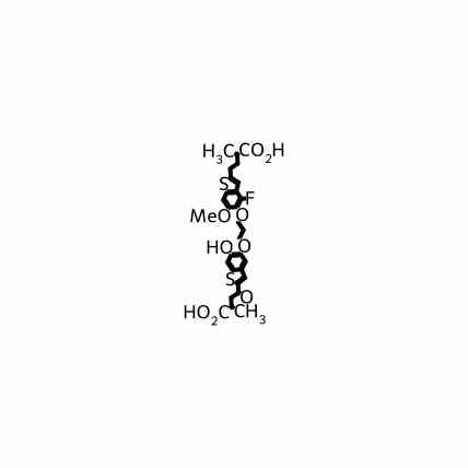 COc1cc2sc(CCC(C)C(=O)O)cc2c(F)c1OCCCOc1cc2cc(C(=O)CC(C)C(=O)O)sc2cc1O